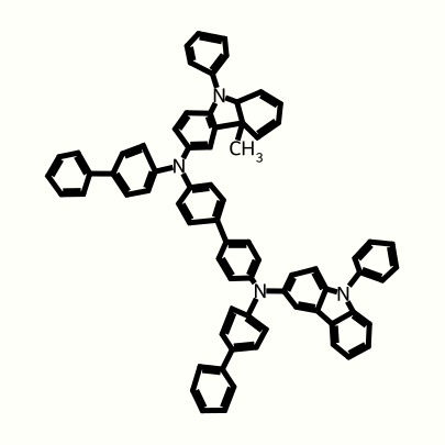 CC12C=CC=CC1N(c1ccccc1)c1ccc(N(c3ccc(-c4ccccc4)cc3)c3ccc(-c4ccc(N(c5ccc(-c6ccccc6)cc5)c5ccc6c(c5)c5ccccc5n6-c5ccccc5)cc4)cc3)cc12